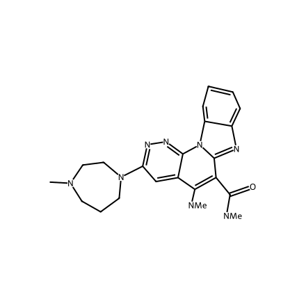 CNC(=O)c1c(NC)c2cc(N3CCCN(C)CC3)nnc2n2c1nc1ccccc12